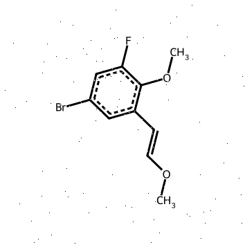 COC=Cc1cc(Br)cc(F)c1OC